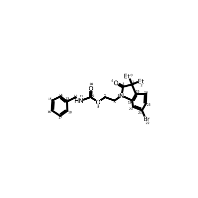 CCC1(CC)C(=O)N(CCOC(=O)NCc2ccccc2)c2cc(Br)ccc21